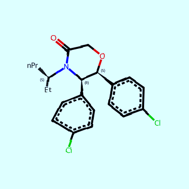 CCC[C@H](CC)N1C(=O)CO[C@@H](c2ccc(Cl)cc2)[C@H]1c1ccc(Cl)cc1